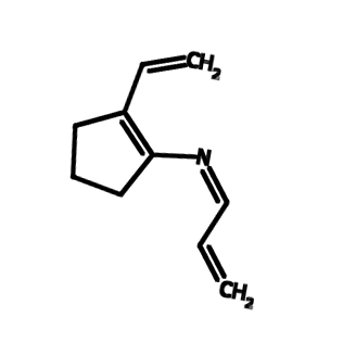 C=C/C=N\C1=C(C=C)CCC1